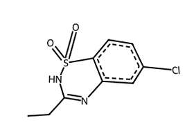 CCC1=Nc2cc(Cl)ccc2S(=O)(=O)N1